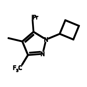 Cc1c(C(F)(F)F)nn(C2CCC2)c1C(C)C